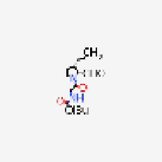 C=CC[C@H]1CCN(C(=O)CNC(=O)OCC(C)C)[C@@H]1C=O